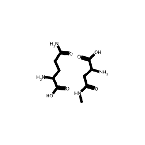 CNC(=O)CC(N)C(=O)O.NC(=O)CCC(N)C(=O)O